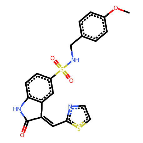 COc1ccc(CNS(=O)(=O)c2ccc3c(c2)/C(=C\c2nccs2)C(=O)N3)cc1